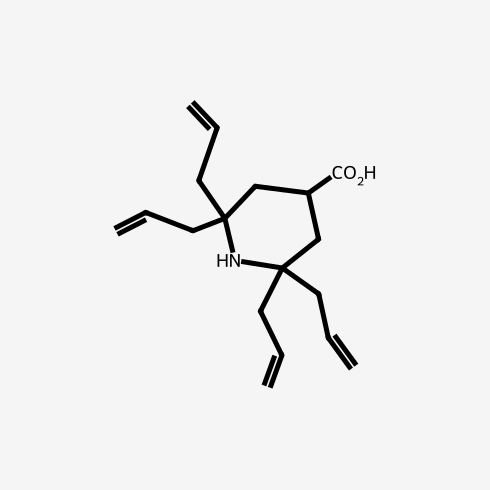 C=CCC1(CC=C)CC(C(=O)O)CC(CC=C)(CC=C)N1